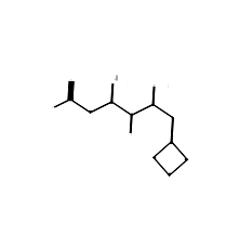 CC(CC1CCC1)C(C)C(N)CC(=O)O